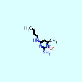 CCCCNc1cc(C)[n+]([O-])c(N)n1